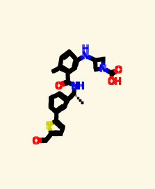 Cc1ccc(NC2CN(C(=O)O)C2)cc1C(=O)N[C@H](C)c1cccc(-c2ccc(C=O)s2)c1